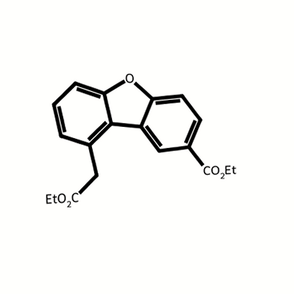 CCOC(=O)Cc1cccc2oc3ccc(C(=O)OCC)cc3c12